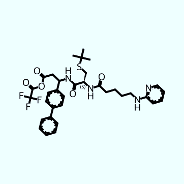 CC(C)(C)SC[C@@H](NC(=O)CCCCNc1ccccn1)C(=O)NC(CC(=O)OC(=O)C(F)(F)F)c1ccc(-c2ccccc2)cc1